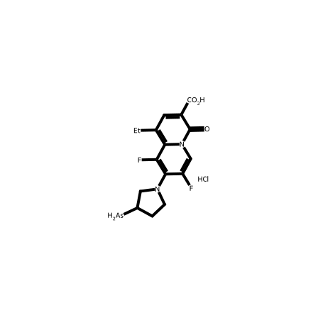 CCc1cc(C(=O)O)c(=O)n2cc(F)c(N3CCC([AsH2])C3)c(F)c12.Cl